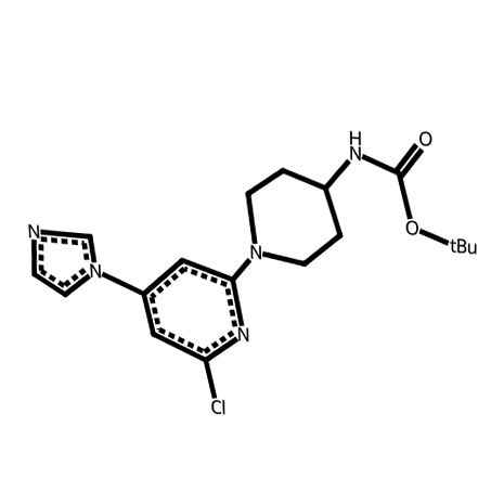 CC(C)(C)OC(=O)NC1CCN(c2cc(-n3ccnc3)cc(Cl)n2)CC1